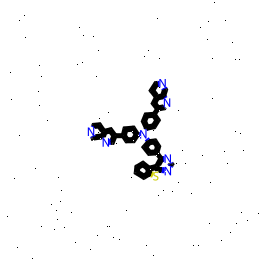 c1ccc2c(c1)sc1ncnc(-c3ccc(N(c4ccc(-c5cnc6cnccc6c5)cc4)c4ccc(-c5cnc6cnccc6c5)cc4)cc3)c12